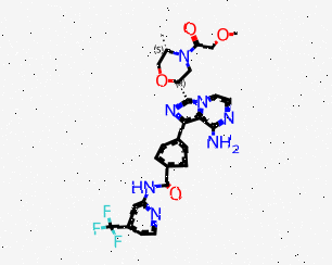 COCC(=O)N1C[C@H](c2nc(-c3ccc(C(=O)Nc4cc(C(F)(F)F)ccn4)cc3)c3c(N)nccn23)OC[C@@H]1C